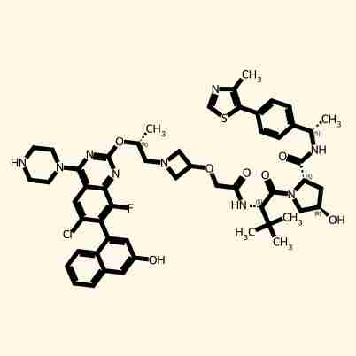 Cc1ncsc1-c1ccc([C@H](C)NC(=O)[C@@H]2C[C@@H](O)CN2C(=O)[C@@H](NC(=O)COC2CN(C[C@@H](C)Oc3nc(N4CCNCC4)c4cc(Cl)c(-c5cc(O)cc6ccccc56)c(F)c4n3)C2)C(C)(C)C)cc1